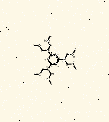 CNCN(COC)c1nc(N(COC)COC)nc(N(COC)COC)n1